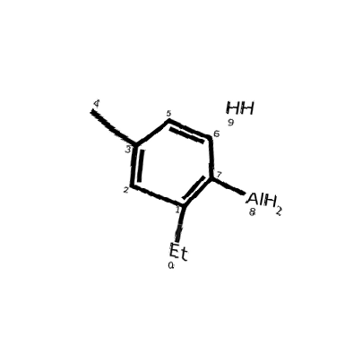 CCc1cc(C)cc[c]1[AlH2].[HH]